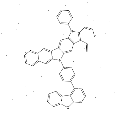 C=Cc1c(/C=C\C)n(-c2ccccc2)c2cc3c4cc5ccccc5cc4n(-c4ccc(-c5cccc6oc7ccccc7c56)cc4)c3cc12